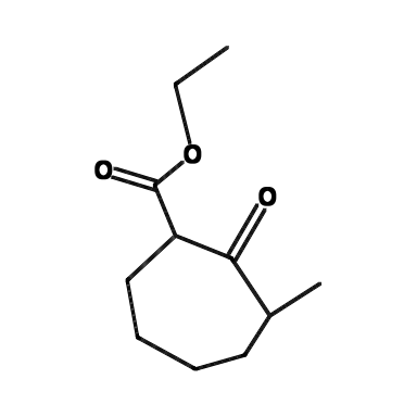 CCOC(=O)C1CCCCC(C)C1=O